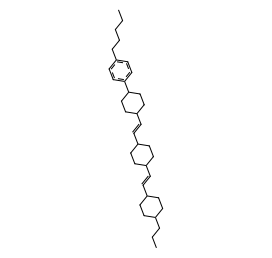 CCCCCc1ccc(C2CCC(C=CC3CCC(C=CC4CCC(CCC)CC4)CC3)CC2)cc1